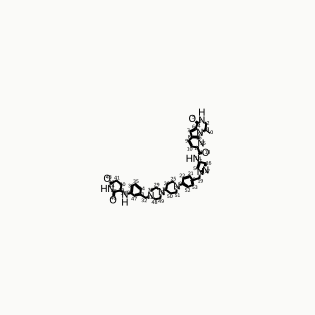 C[C@@H]1CNC(=O)c2cc3ccc(C(=O)Nc4cnn(Cc5ccc(N6CCC(N7CCN(Cc8cccc(NC9CCC(=O)NC9=O)c8)CC7)CC6)cc5)c4)nc3n21